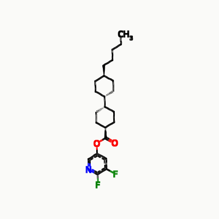 CCCCC[C@H]1CC[C@H]([C@H]2CC[C@H](C(=O)Oc3cnc(F)c(F)c3)CC2)CC1